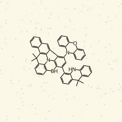 CC1(C)c2ccccc2Nc2c(-c3cc(N4c5ccccc5Oc5ccccc54)c4c5cc6ccccc6c6c5n5c4c3Bc3cccc(c3-5)C6(C)C)cccc21